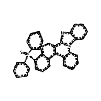 S=P(c1ccccc1)(c1ccccc1)c1cccc2c1ccc1c2c2ccccc2n2c3ccccc3nc12